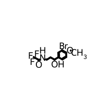 COc1ccc(C(O)CCNC(=O)C(F)(F)F)cc1Br